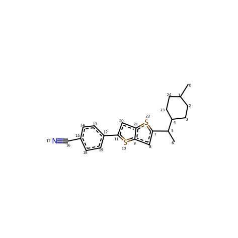 CC1CCC(C(C)c2cc3sc(-c4ccc(C#N)cc4)cc3s2)CC1